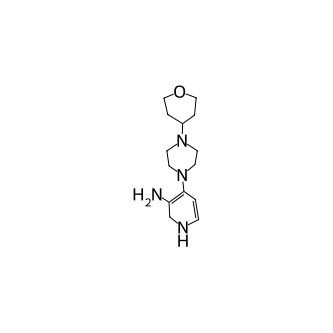 NC1=C(N2CCN(C3CCOCC3)CC2)C=CNC1